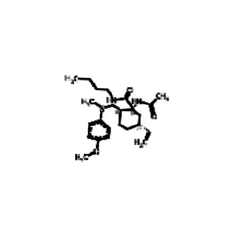 C=C[C@@H]1CC[C@@H](CN(C)c2ccc(OC)cc2)[C@@](NC(C)=O)(C(=O)NCCCC)C1